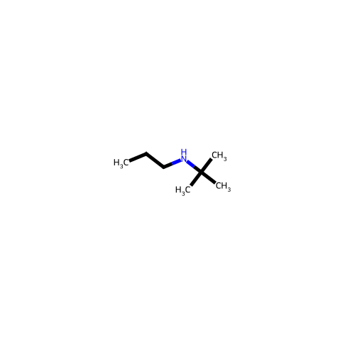 C[CH]CNC(C)(C)C